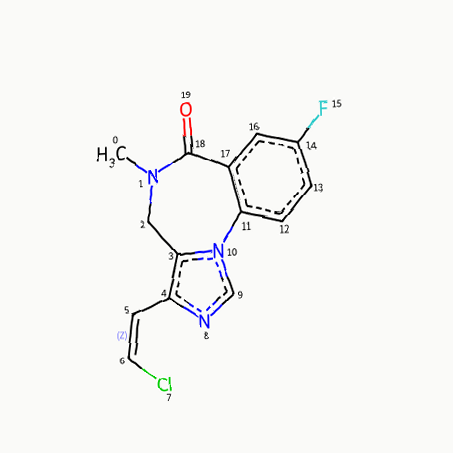 CN1Cc2c(/C=C\Cl)ncn2-c2ccc(F)cc2C1=O